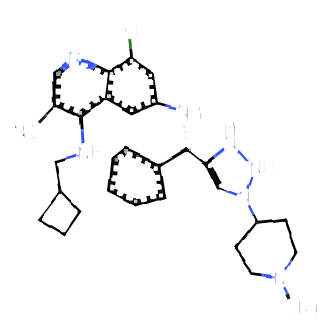 CC(C)(C)N1CCC(N2C=C([C@@H](Nc3cc(Cl)c4ncc(C#N)c(NCC5CCC5)c4c3)c3ccccc3)NN2)CC1